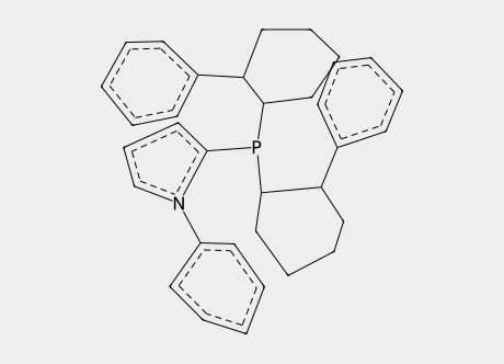 c1ccc(C2CCCCC2P(c2cccn2-c2ccccc2)C2CCCCC2c2ccccc2)cc1